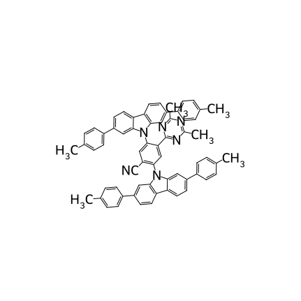 Cc1ccc(-c2ccc3c4ccc(-c5ccc(C)cc5)cc4n(-c4cc(-c5nc(C)nc(C)n5)c(-n5c6cc(-c7ccc(C)cc7)ccc6c6ccc(-c7ccc(C)cc7)cc65)cc4C#N)c3c2)cc1